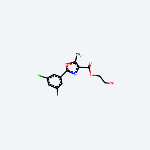 Cc1oc(-c2cc(F)cc(F)c2)nc1C(=O)OCCO